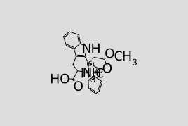 COC(C[C@]1(Cc2ccccc2)NC(C(=O)O)Cc2c1[nH]c1ccccc21)OC